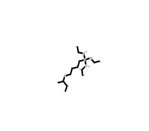 CCO[Si](CCCCOC(C)CC)(OCC)OCC